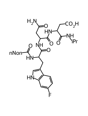 CCCCCCCCCC(=O)NC(Cc1c[nH]c2cc(F)ccc12)C(=O)NC(CC(N)=O)C(=O)NC(CC(=O)O)C(=O)NC(C)C